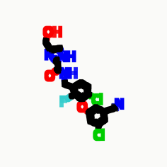 N#Cc1cc(Cl)cc(Oc2c(Cl)ccc(CNC(=O)c3nc(CO)c[nH]3)c2F)c1